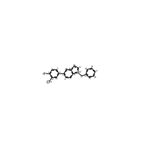 Fc1ccc(-c2ccc3c([c]cn3Cc3ccccc3)c2)cc1Cl